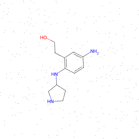 Nc1ccc(NC2CCNC2)c(CCO)c1